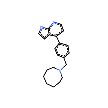 c1cc(-c2ccc(CN3CCCCCCC3)cc2)c2cc[nH]c2n1